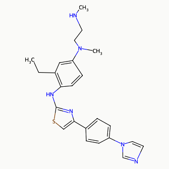 CCc1cc(N(C)CCNC)ccc1Nc1nc(-c2ccc(-n3ccnc3)cc2)cs1